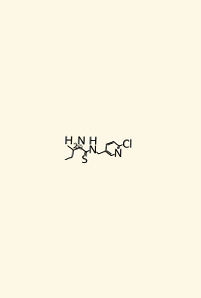 CCC(C)[C@H](N)C(=S)NCc1ccc(Cl)nc1